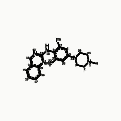 CN1CCN(c2cc(F)c(Nc3ncc4ccccc4n3)c(F)c2)CC1